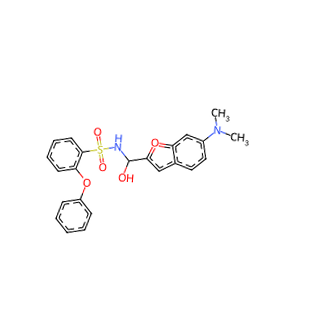 CN(C)c1ccc2cc(C(O)NS(=O)(=O)c3ccccc3Oc3ccccc3)oc2c1